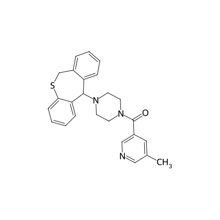 Cc1cncc(C(=O)N2CCN(C3c4ccccc4CSc4ccccc43)CC2)c1